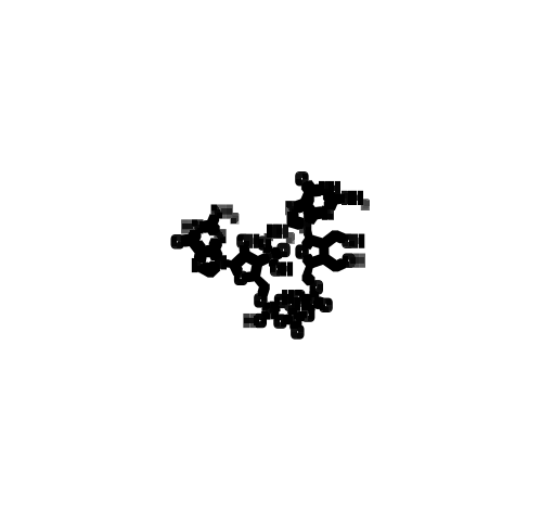 NOP(=O)(O)C1C(O)[C@H](n2cnc3c(=O)[nH]c(N)nc32)O[C@@H]1COP(=O)(O)OP(=O)(O)OP(=O)(O)OC[C@H]1O[C@@H](n2cnc3c(=O)[nH]c(N)nc32)C(CO)C1CO